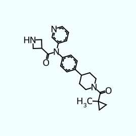 CC1(C(=O)N2CCC(c3ccc(N(C(=O)C4CNC4)c4cccnc4)cc3)CC2)CC1